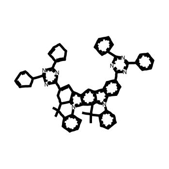 CC1(C)c2ccccc2-n2c3ccc(-c4nc(-c5ccccc5)nc(-c5ccccc5)n4)cc3c3cc4c5c6n(c4c1c32)-c1ccccc1C(C)(C)C6CC(c1nc(C2=CCCC=C2)nc(C2C=CC=CC2)n1)=C5